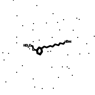 CCCCCCCCCCCCCCCCCCc1cccc(OCC(=O)O)c1